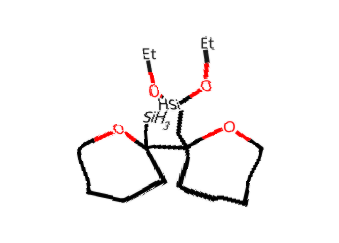 CCO[SiH](OCC)C1(C2([SiH3])CCCCO2)CCCCO1